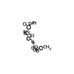 CCc1c(CN2CC(C(=O)OS(=O)(=O)c3ccc(C)cc3)C2)cccc1-c1nnc(-c2ccc(OC(C)C)c(Cl)c2)s1